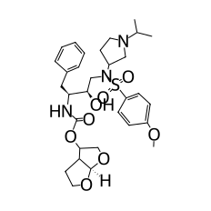 COc1ccc(S(=O)(=O)N(C[C@@H](O)[C@H](Cc2ccccc2)NC(=O)OC2CO[C@H]3OCCC23)C2CCN(C(C)C)C2)cc1